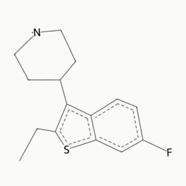 CCc1sc2cc(F)ccc2c1C1CC[N]CC1